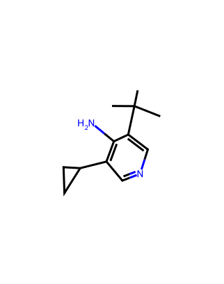 CC(C)(C)c1cncc(C2CC2)c1N